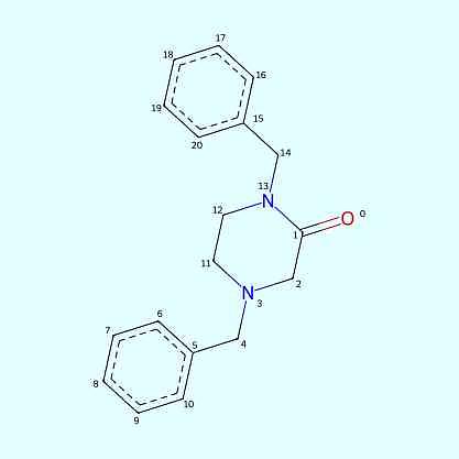 O=C1CN(Cc2ccccc2)CCN1Cc1ccccc1